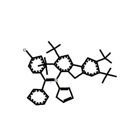 CC(C)(C)c1cc2c(cc1C(C)(C)C)-c1cc(C(C)(C)C)c(C(C)(C)C)[c](/[Zr]([C]3=CC=CC3)=[C](/c3ccccc3)c3ccc(Cl)cc3)c1C2